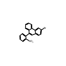 O=[N+]([O-])c1ccccc1-c1cc2ccc(Br)cc2c2ccccc12